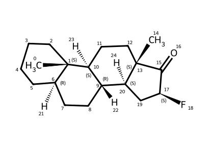 C[C@]12CCCC[C@@H]1CC[C@@H]1[C@@H]2CC[C@]2(C)C(=O)[C@@H](F)C[C@@H]12